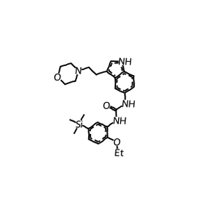 CCOc1ccc([Si](C)(C)C)cc1NC(=O)Nc1ccc2[nH]cc(CCN3CCOCC3)c2c1